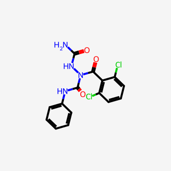 NC(=O)NN(C(=O)Nc1ccccc1)C(=O)c1c(Cl)cccc1Cl